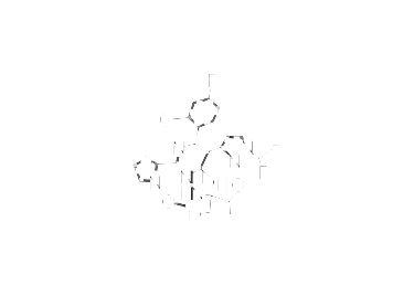 CC(O)[C@]1(CC2=C(c3ccn(C(F)F)n3)[C@H](c3ccc(F)cc3Cl)N=C(c3nccs3)N2)COC(=O)N1